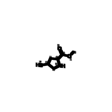 COC(=O)C1CC(S)CN1